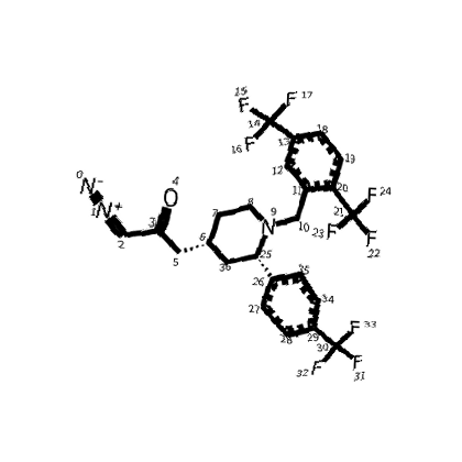 [N-]=[N+]=CC(=O)C[C@@H]1CCN(Cc2cc(C(F)(F)F)ccc2C(F)(F)F)[C@H](c2ccc(C(F)(F)F)cc2)C1